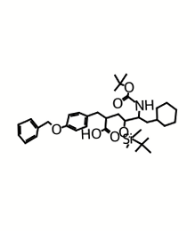 CC(C)(C)OC(=O)NC(CC1CCCCC1)C(CC(Cc1ccc(OCc2ccccc2)cc1)C(=O)O)O[Si](C)(C)C(C)(C)C